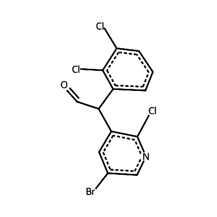 O=CC(c1cc(Br)cnc1Cl)c1cccc(Cl)c1Cl